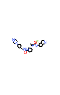 CN1CCN(c2ccc(CNC(=O)c3cccc([C@@H]4C[C@H]4C(=O)Nc4ccc5cnccc5c4F)c3)cc2)CC1